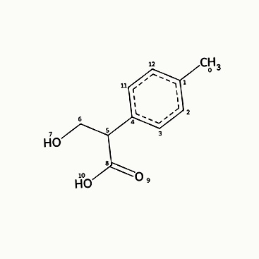 Cc1ccc(C(CO)C(=O)O)cc1